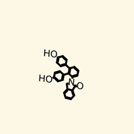 O=C1c2ccccc2CN1c1cccc(-c2ccc(O)cc2)c1-c1ccc(O)cc1